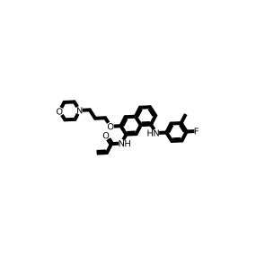 C=CC(=O)Nc1cc2c(Nc3ccc(F)c(C)c3)cccc2cc1OCCCN1CCOCC1